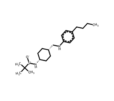 CCCCc1ccc(NC[C@H]2CC[C@@H](N[S+]([O-])C(C)(C)C)CC2)cc1